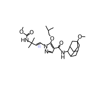 COC(=O)NC(C)(C)/C=C/n1ncc(C(=O)NC2C3CC4CC2CC(OC)(C4)C3)c1OCC(C)C